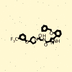 O=C(NCC(=O)N1CCC(Oc2cccc(C(F)(F)F)c2)CC1)c1cc(-c2ccccc2OCc2ccccc2)[nH]n1